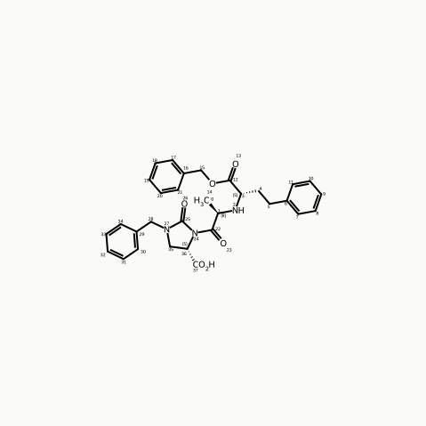 C[C@@H](N[C@@H](CCc1ccccc1)C(=O)OCc1ccccc1)C(=O)N1C(=O)N(Cc2ccccc2)C[C@H]1C(=O)O